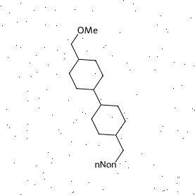 CCCCCCCCCCC1CCC(C2CCC(COC)CC2)CC1